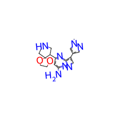 Cn1cc(-c2cnn3c(N)cc(C4CNCCC45OCCO5)nc23)cn1